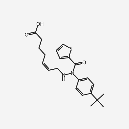 CC(C)(C)c1ccc(N(NC/C=C\CCCC(=O)O)C(=O)c2cccs2)cc1